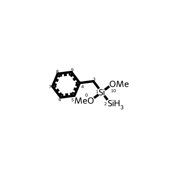 CO[Si]([SiH3])(Cc1ccccc1)OC